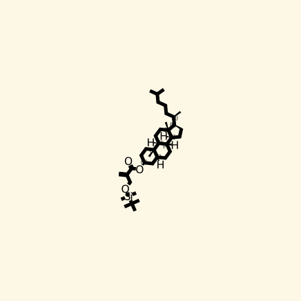 C=C(CO[Si](C)(C)C(C)(C)C)C(=O)O[C@H]1CC[C@@]2(C)[C@@H](CC[C@@H]3[C@@H]2CC[C@]2(C)[C@@H]([C@H](C)CCCC(C)C)CC[C@@H]32)C1